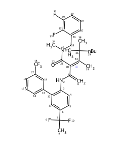 C=C(Nc1ccc(C(C)(F)F)cc1-c1cncc(C(F)(F)F)c1)/C(C(=O)N(C)Cc1cccc(F)c1F)=C(\C)C(C)(C)CCCC